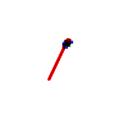 COCCOCCOCCOCCOCCOCCOCCOCCOCCOCCOCCOCCOCCOCCOCCOCCOCCOCCOCCOCCOCCOCCOCCOCCC(=O)NCCCCC(NC(=O)[C@@H](N)C(C)C)C(=O)NCc1ccc([C@H]2O[C@@H]2[C@@H](C)[C@@H]2C/C=C/C(=O)N[C@H](Cc3ccc(OC)c(Cl)c3)C(=O)NCC(C)(C)C(=O)O[C@@H](CC(C)C)C(=O)O2)cc1